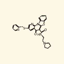 O=C(NCCN1CCCC1)c1c(=O)c2cc(SCc3ccccn3)cnc2n2c1sc1ccccc12